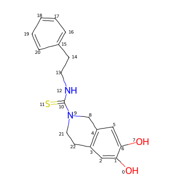 Oc1cc2c(cc1O)CN(C(=S)NCCc1ccccc1)CC2